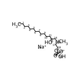 CCCCCCCCCCCCC(O)CN(C)CCOP(=O)([O-])O.[Na+]